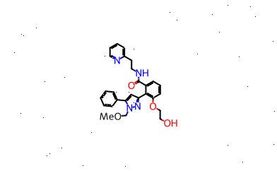 COCn1nc(-c2c(OCCO)cccc2C(=O)NCCc2ccccn2)cc1-c1ccccc1